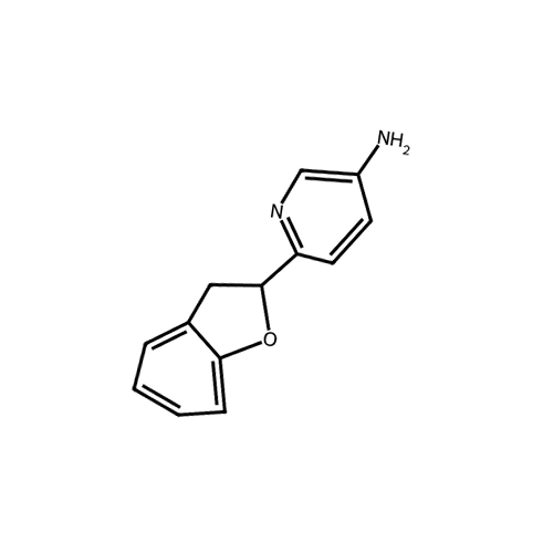 Nc1ccc(C2Cc3ccccc3O2)nc1